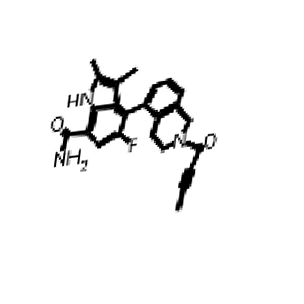 CC#CC(=O)N1CCc2c(cccc2-c2c(F)cc(C(N)=O)c3[nH]c(C)c(C)c23)C1